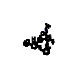 CSc1sc(C(=O)/C=C/N(C)C)c(-c2cc(N3NC(c4ccco4)CCC3SCc3cccc(C)c3)cs2)c1C#N